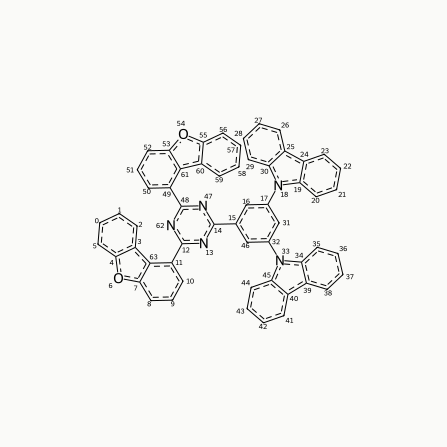 c1ccc2c(c1)oc1cccc(-c3nc(-c4cc(-n5c6ccccc6c6ccccc65)cc(-n5c6ccccc6c6ccccc65)c4)nc(-c4cccc5oc6ccccc6c45)n3)c12